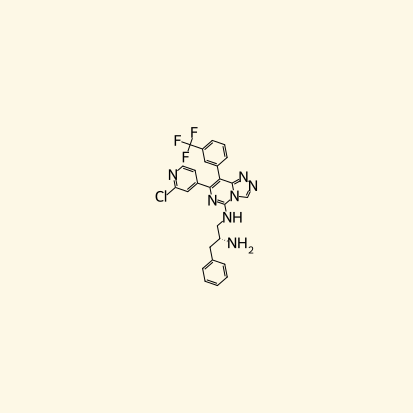 N[C@@H](CNc1nc(-c2ccnc(Cl)c2)c(-c2cccc(C(F)(F)F)c2)c2nncn12)Cc1ccccc1